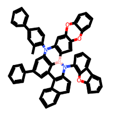 Cc1cc(-c2ccccc2)ccc1N1c2cc3c(cc2B2c4c(cc(-c5ccccc5)cc41)-c1c(ccc4ccccc14)N2c1cccc2c1oc1ccccc12)Oc1ccccc1O3